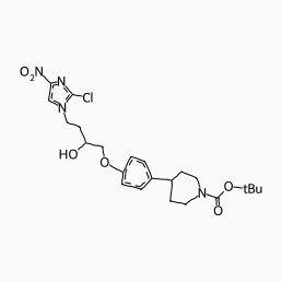 CC(C)(C)OC(=O)N1CCC(c2ccc(OCC(O)CCn3cc([N+](=O)[O-])nc3Cl)cc2)CC1